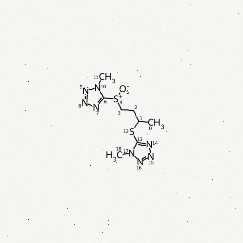 CC(CC[S+]([O-])c1nnnn1C)Sc1nnnn1C